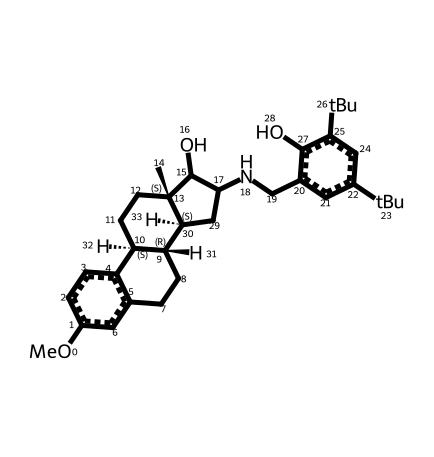 COc1ccc2c(c1)CC[C@@H]1[C@@H]2CC[C@]2(C)C(O)C(NCc3cc(C(C)(C)C)cc(C(C)(C)C)c3O)C[C@@H]12